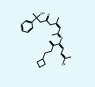 C=C(CCC1CCC1)C(=C\C=C(/C)C#N)/N=C(C)/C=C(/C)CC(=O)CC(C)(O)c1ccccc1